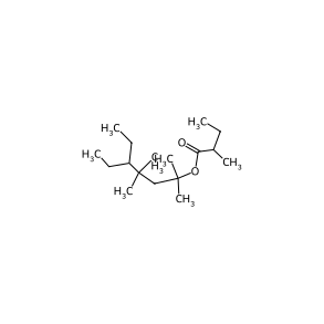 CCC(C)C(=O)OC(C)(C)CC(C)(C)C(CC)CC